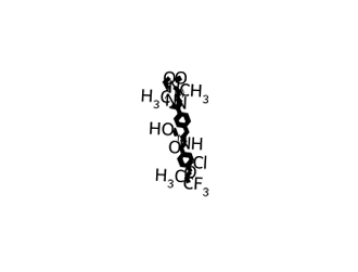 CC(Oc1ccc(C(=O)N[C@H](CCO)Cc2ccc(-c3cn(C)c([C@@H](C)N4CCOC4=O)n3)cc2)cc1Cl)C(F)(F)F